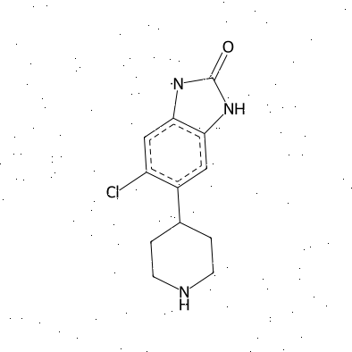 O=C1[N]c2cc(Cl)c(C3CCNCC3)cc2N1